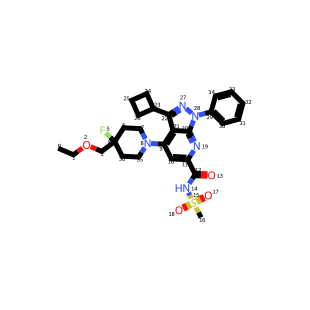 CCOCC1(F)CCN(c2cc(C(=O)NS(C)(=O)=O)nc3c2c(C2CCC2)nn3-c2ccccc2)CC1